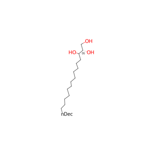 CCCCCCCCCCCCCCCCCCCCCCC(O)[C@@H](O)CO